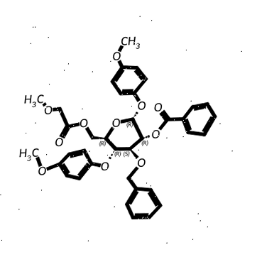 COCC(=O)OC[C@H]1O[C@H](Oc2ccc(OC)cc2)[C@H](OC(=O)c2ccccc2)[C@@H](OCc2ccccc2)[C@@H]1Oc1ccc(OC)cc1